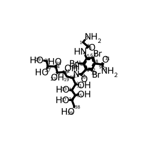 NCC(=O)Nc1c(Br)c(C(N)=O)c(Br)c(C(=O)NC(CC(O)C(O)C(O)C(O)CO)C(O)C(O)C(O)C(O)CO)c1Br